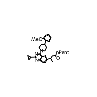 CCCCCC(=O)CC(C)c1ccc2nc(C3CC3)nc(N3CCC(c4ccccc4OC)CC3)c2c1